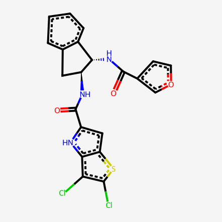 O=C(N[C@H]1c2ccccc2C[C@@H]1NC(=O)c1cc2sc(Cl)c(Cl)c2[nH]1)c1ccoc1